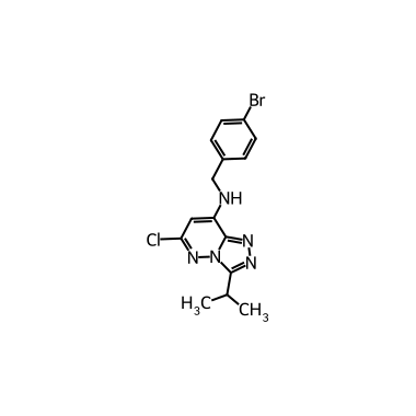 CC(C)c1nnc2c(NCc3ccc(Br)cc3)cc(Cl)nn12